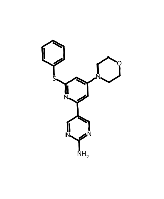 Nc1ncc(-c2cc(N3CCOCC3)cc(Sc3ccccc3)n2)cn1